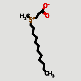 CCCCCCCCCCCC[S+](C)CCC(=O)[O-]